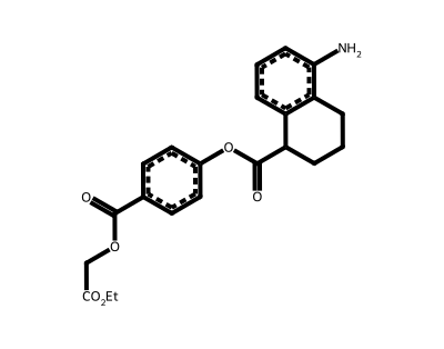 CCOC(=O)COC(=O)c1ccc(OC(=O)C2CCCc3c(N)cccc32)cc1